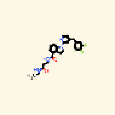 CCNC(=O)CCNC(=O)c1cccc2c1CCN2c1cc(Cc2cc(F)c(F)c(F)c2)ccn1